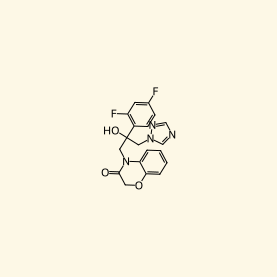 O=C1COc2ccccc2N1CC(O)(Cn1cncn1)c1ccc(F)cc1F